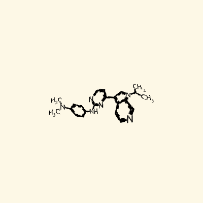 CC(C)n1cc(-c2ccnc(Nc3ccc(N(C)C)cc3)n2)c2ccncc21